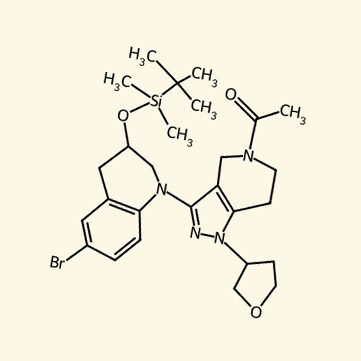 CC(=O)N1CCc2c(c(N3CC(O[Si](C)(C)C(C)(C)C)Cc4cc(Br)ccc43)nn2C2CCOC2)C1